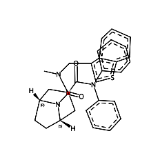 CN(Cc1csc2ccccc12)C(=O)N1[C@@H]2CC[C@H]1CN(C(=O)N(c1ccccc1)c1ccccc1)C2